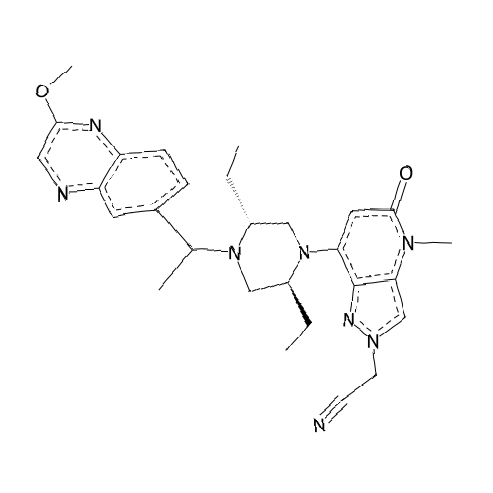 CC[C@H]1CN(C(C)c2ccc3nc(OC)cnc3c2)[C@H](CC)CN1c1cc(=O)n(C)c2cn(CC#N)nc12